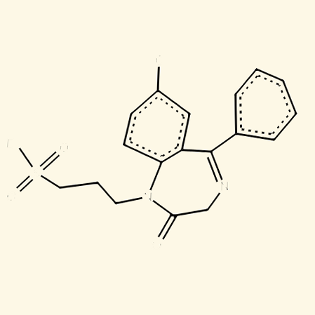 CCS(=O)(=O)CCCN1C(=O)CN=C(c2ccccc2)c2cc(Cl)ccc21